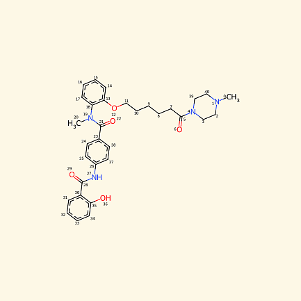 CN1CCN(C(=O)CCCCCOc2ccccc2N(C)C(=O)c2ccc(NC(=O)c3ccccc3O)cc2)CC1